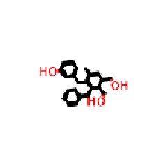 Cc1[c]c(CO)c(CO)c(Cc2ccccc2)c1Cc1cccc(O)c1